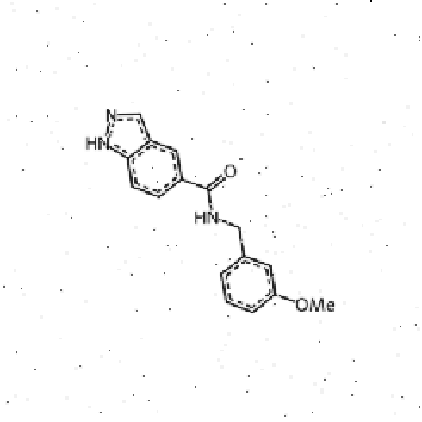 COc1cccc(CNC(=O)c2ccc3[nH]ncc3c2)c1